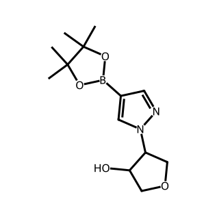 CC1(C)OB(c2cnn(C3COCC3O)c2)OC1(C)C